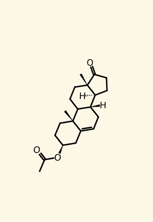 CC(=O)O[C@H]1CC[C@@]2(C)C(=CC[C@@H]3C2CC[C@]2(C)C(=O)CC[C@@H]32)C1